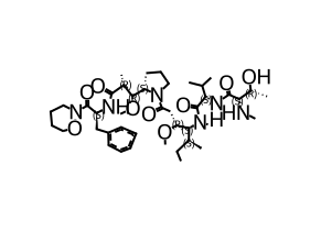 CC[C@H](C)[C@@H]([C@@H](CC(=O)N1CCC[C@H]1[C@H](OC)[C@@H](C)C(=O)N[C@@H](Cc1ccccc1)C(=O)N1CCCCO1)OC)N(C)C(=O)[C@@H](NC(=O)[C@@H](NC)[C@@H](C)O)C(C)C